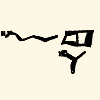 CC(=O)O.CCCCN.c1cc2ccc1-2